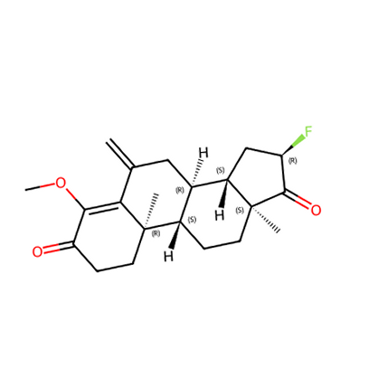 C=C1C[C@@H]2[C@H](CC[C@]3(C)C(=O)[C@H](F)C[C@@H]23)[C@@]2(C)CCC(=O)C(OC)=C12